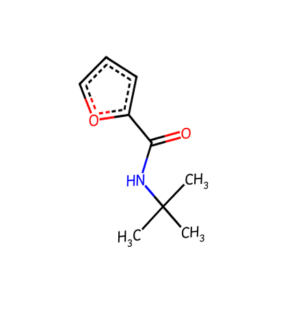 CC(C)(C)NC(=O)c1ccco1